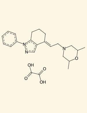 CC1CN(CC=C2CCCc3c2cnn3-c2ccccc2)CC(C)O1.O=C(O)C(=O)O